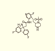 CS(=O)(=O)N1CCNCC1CCc1c(F)cncc1NC(=O)CC(N)(c1ccc(F)cc1)c1ccc(F)cc1